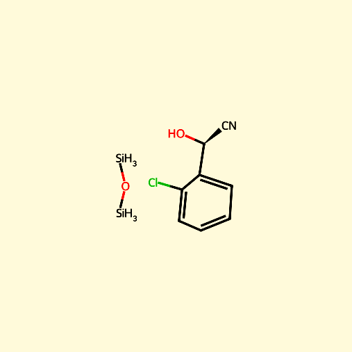 N#C[C@H](O)c1ccccc1Cl.[SiH3]O[SiH3]